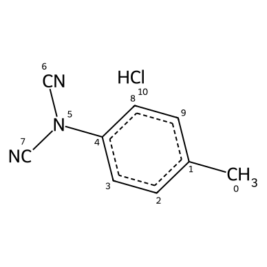 Cc1ccc(N(C#N)C#N)cc1.Cl